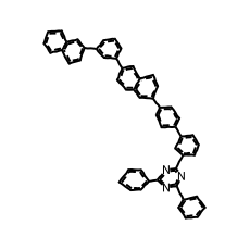 c1ccc(-c2nc(-c3ccccc3)nc(-c3cccc(-c4ccc(-c5ccc6cc(-c7cccc(-c8ccc9ccccc9c8)c7)ccc6c5)cc4)c3)n2)cc1